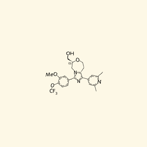 COc1cc(-c2nc(-c3cc(C)nc(C)c3)c3n2C[C@@H](CO)OCC3)ccc1OC(F)(F)F